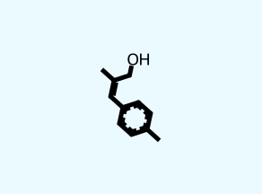 CC(=Cc1ccc(C)cc1)CO